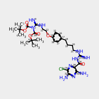 CC(C)(C)OC(=O)N(C(=N)NCCOc1ccc(CCCCNC(=N)NC(=O)c2nc(Cl)c(N)nc2N)cc1)C(=O)OC(C)(C)C